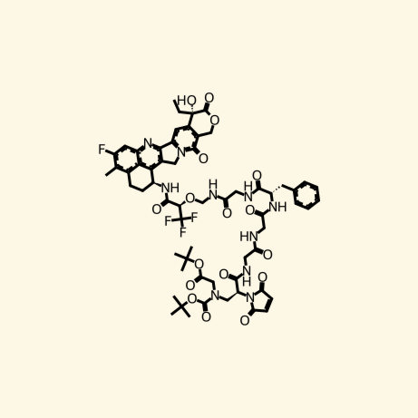 CC[C@@]1(O)C(=O)OCc2c1cc1n(c2=O)Cc2c-1nc1cc(F)c(C)c3c1c2[C@@H](NC(=O)[C@@H](OCNC(=O)CNC(=O)[C@H](Cc1ccccc1)NC(=O)CNC(=O)CNC(=O)[C@H](CN(CC(=O)OC(C)(C)C)C(=O)OC(C)(C)C)N1C(=O)C=CC1=O)C(F)(F)F)CC3